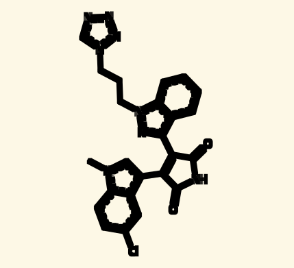 Cn1cc(C2=C(c3nn(CCCn4cnnn4)c4ccccc34)C(=O)NC2=O)c2cc(Cl)ccc21